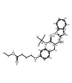 CCOC(=O)CCCOc1ccc(C[C@H](Nc2nc3ccccc3o2)C(=O)OC(C)(C)C)cc1